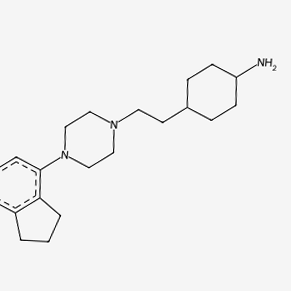 NC1CCC(CCN2CCN(c3cccc4c3CCC4)CC2)CC1